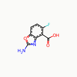 Nc1nc2c(C(=O)O)c(F)ccc2o1